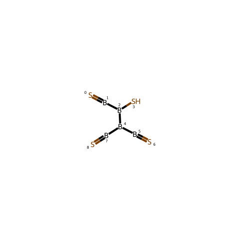 S=BB(S)B(B=S)B=S